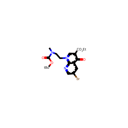 CCOC(=O)c1cn(CCN(C)C(=O)OC(C)(C)C)c2ncc(Br)cc2c1=O